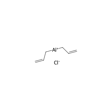 C=C[CH2][Al+][CH2]C=C.[Cl-]